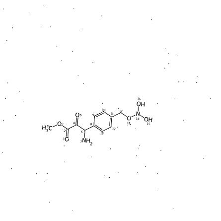 COC(=O)C(=O)C(N)c1ccc(CON(O)O)cc1